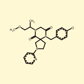 COCC(C)N1CC(=O)N(Cc2ccc(Cl)cc2)C2(CCN(c3ccccn3)C2)C1=O